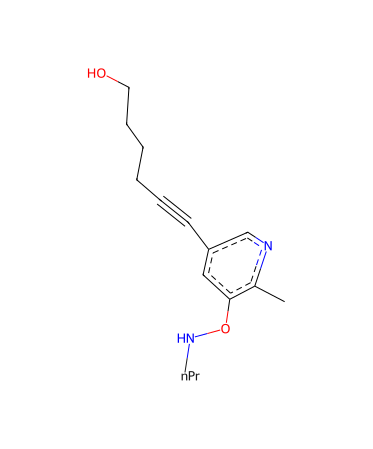 CCCNOc1cc(C#CCCCCO)cnc1C